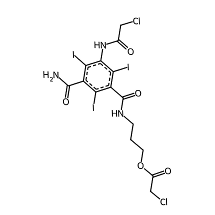 NC(=O)c1c(I)c(NC(=O)CCl)c(I)c(C(=O)NCCCOC(=O)CCl)c1I